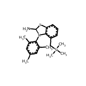 Cc1cc(C)c(N2c3c(C[Si](C)(C)C)cccc3SC2N)c(C)c1